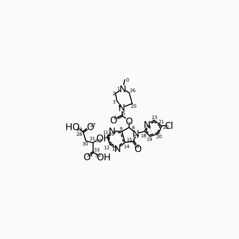 CN1CCN(C(=O)OC2c3nccnc3C(=O)N2c2ccc(Cl)cn2)CC1.O=C(O)CC(O)C(=O)O